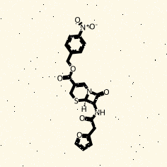 O=C(Cc1ccco1)NC1C(=O)N2C=C(C(=O)OCc3ccc([N+](=O)[O-])cc3)CS[C@H]12